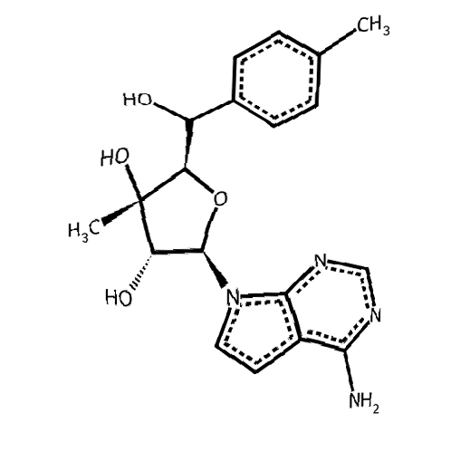 Cc1ccc(C(O)[C@H]2O[C@@H](n3ccc4c(N)ncnc43)[C@H](O)[C@]2(C)O)cc1